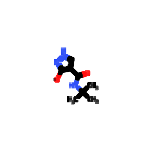 CC(C)(C)NC(=O)c1c[nH]nc1[O]